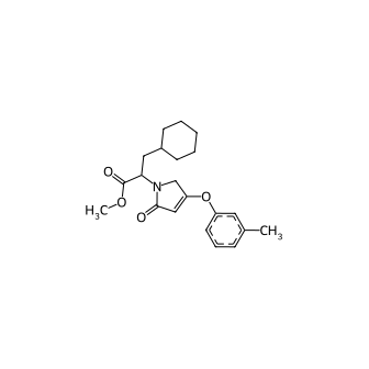 COC(=O)C(CC1CCCCC1)N1CC(Oc2cccc(C)c2)=CC1=O